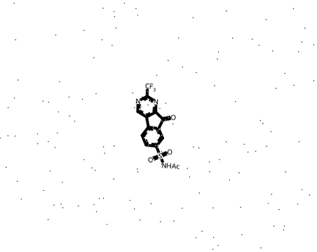 CC(=O)NS(=O)(=O)c1ccc2c(c1)C(=O)c1nc(C(F)(F)F)ncc1-2